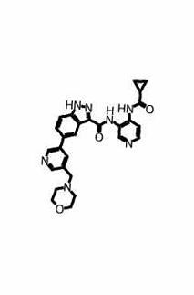 O=C(Nc1cnccc1NC(=O)C1CC1)c1n[nH]c2ccc(-c3cncc(CN4CCOCC4)c3)cc12